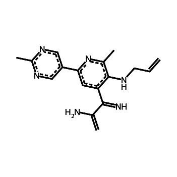 C=CCNc1c(C(=N)C(=C)N)cc(-c2cnc(C)nc2)nc1C